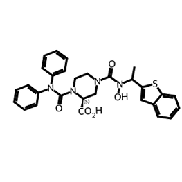 CC(c1cc2ccccc2s1)N(O)C(=O)N1CCN(C(=O)N(c2ccccc2)c2ccccc2)[C@H](C(=O)O)C1